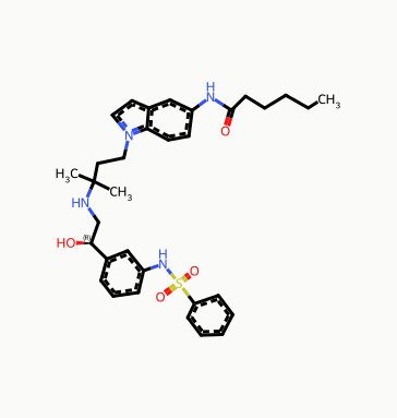 CCCCCC(=O)Nc1ccc2c(ccn2CCC(C)(C)NC[C@H](O)c2cccc(NS(=O)(=O)c3ccccc3)c2)c1